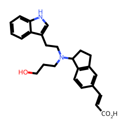 O=C(O)/C=C/c1ccc2c(c1)CCC2N(CCCO)CCc1c[nH]c2ccccc12